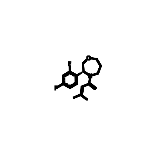 C=C(C=C(C)C)N1CCCOC[C@H]1c1ccc(F)cc1F